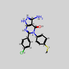 CSc1ccc(-n2c(-c3ccc(Cl)cc3)nc3[nH]nc(N)c3c2=O)cc1